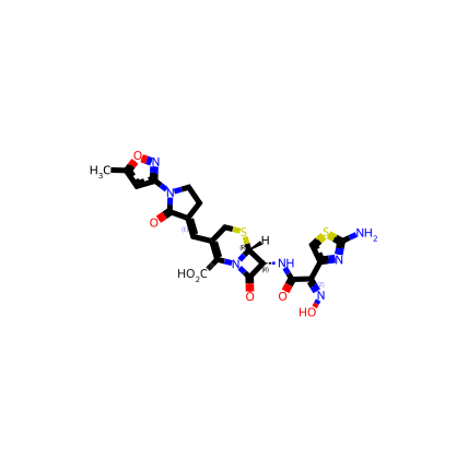 Cc1cc(N2CC/C(=C\C3=C(C(=O)O)N4C(=O)[C@@H](NC(=O)/C(=N\O)c5csc(N)n5)[C@H]4SC3)C2=O)no1